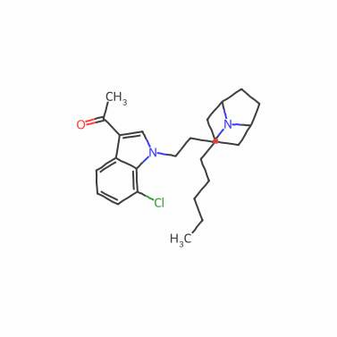 CCCCCC1CC2CCC(C1)N2CCCn1cc(C(C)=O)c2cccc(Cl)c21